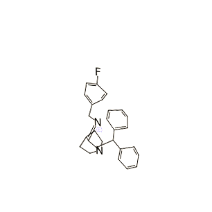 Fc1ccc(C/N=C2\C3CCN(CC3)C2C(c2ccccc2)c2ccccc2)cc1